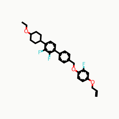 C=CCOc1ccc(OCc2ccc(-c3ccc(C4CCC(OCC)CC4)c(F)c3F)cc2)c(F)c1